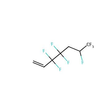 C=CC(F)(F)C(F)(F)CC(F)C(F)(F)F